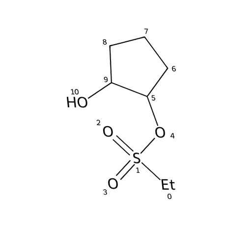 CCS(=O)(=O)OC1CCCC1O